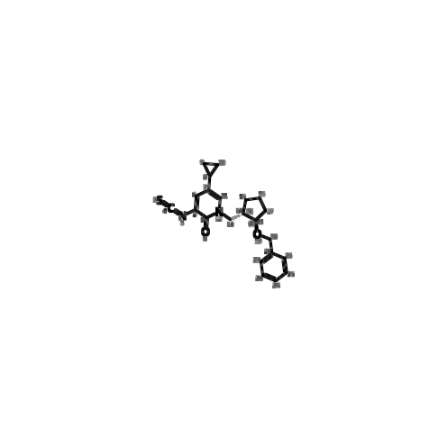 O=c1c(N=C=S)cc(C2CC2)cn1C[C@@H]1CCC[C@H]1OCc1ccccc1